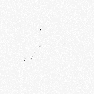 C[C@H]1CC[C@H]2C(C)(C)[C@@H](Br)[C@H](O)C[C@]23Oc2c(cc(Cl)c4c2CNC4=O)C[C@]13C